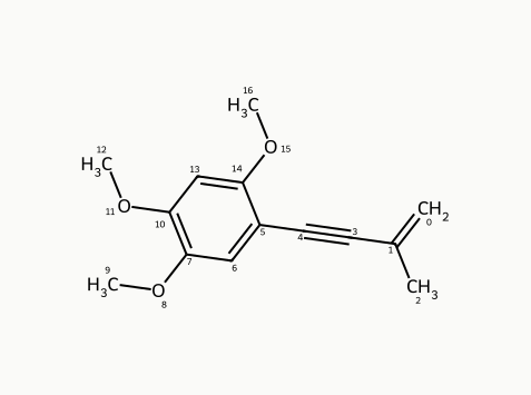 C=C(C)C#Cc1cc(OC)c(OC)cc1OC